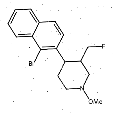 CON1CCC(c2ccc3ccccc3c2Br)C(CF)C1